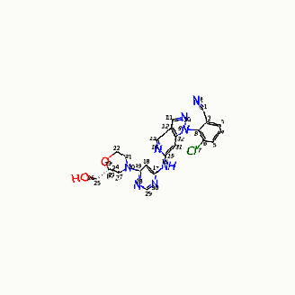 N#Cc1cccc(Cl)c1-n1ncc2cnc(Nc3cc(N4CCO[C@@H](CO)C4)ncn3)cc21